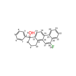 OC1(c2ccccc2)CCCc2c1ccc1c2cc(F)c2ccccc21